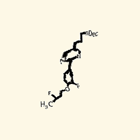 CCCCCCCCCCCCCc1cnc(-c2ccc(OCCC(C)F)c(F)c2)nc1